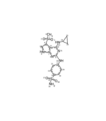 CS(=O)(=O)c1n[nH]c2nc(Nc3ccc(S(N)(=O)=O)cc3)nc(NC3CC3)c12